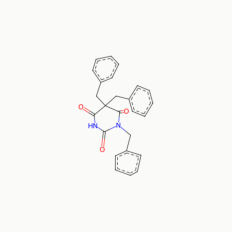 O=C1NC(=O)C(Cc2ccccc2)(Cc2ccccc2)C(=O)N1Cc1ccccc1